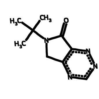 CC(C)(C)N1Cc2ncnnc2C1=O